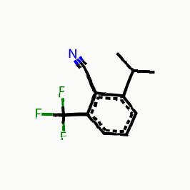 CC(C)c1cccc(C(F)(F)F)c1C#N